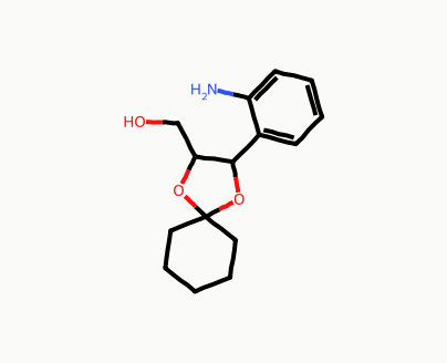 Nc1ccccc1C1OC2(CCCCC2)OC1CO